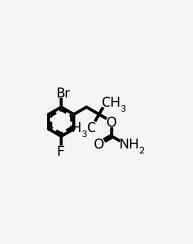 CC(C)(Cc1cc(F)ccc1Br)OC(N)=O